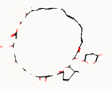 CC1CCC2(O)CC(O)C(O)CCC(O)CC(O)CC(O)CC(=O)O[C@@H](C)CC(O)[C@@H](C)/C=C/C=C/CC/C=C/C=C/C=C/C=C/C(OC3O[C@H](C)C(O)C[C@@H]3O)CC1O2